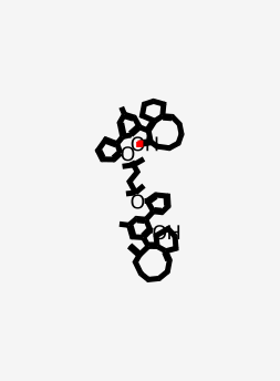 C=C1CCCCC/C=C2/CCCC/C2=C/1c1cc(C)cc(-c2ccccc2OC(C)(C)CCC(C)(C)Oc2ccccc2-c2cc(C)cc(/C3=C4\CCCC\C4=C\CCCCCC3=C)c2O)c1O